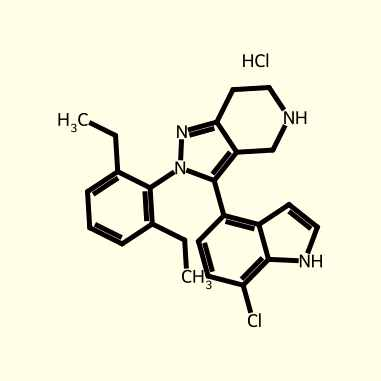 CCc1cccc(CC)c1-n1nc2c(c1-c1ccc(Cl)c3[nH]ccc13)CNCC2.Cl